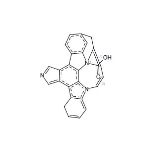 O=C(O)[N+]12/C3=C\C=C/n4c5c(c6c7c(c(c1c64)-c1ccc(cc12)C3)C=NC=7)CC=CC=5